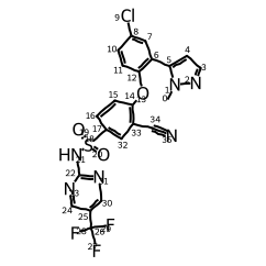 Cn1nccc1-c1cc(Cl)ccc1Oc1ccc(S(=O)(=O)Nc2ncc(C(F)(F)F)cn2)cc1C#N